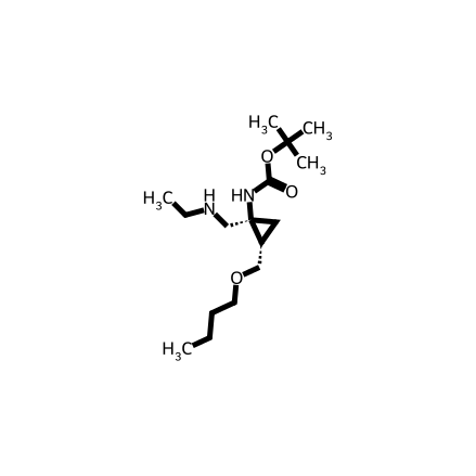 CCCCOC[C@H]1C[C@]1(CNCC)NC(=O)OC(C)(C)C